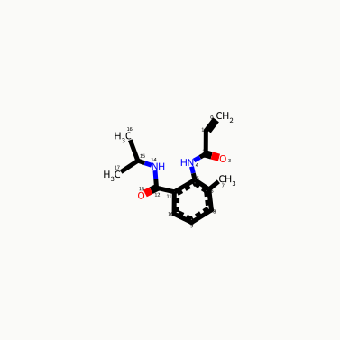 C=CC(=O)Nc1c(C)cccc1C(=O)NC(C)C